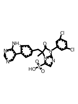 CC1(Cc2ccc(-c3cncnc3N)cc2)C(=O)N(c2cc(Cl)cc(Cl)c2)c2ncc(S(=O)(=O)O)n21